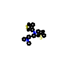 C1=CCC(n2c3ccccc3c3ccc(-c4cccc(N(c5ccc6c(c5)-c5ccccc5C65c6ccccc6Sc6ccccc65)c5ccc6c(c5)C5(c7ccccc7Sc7ccccc75)c5ccccc5-6)c4)cc32)C=C1